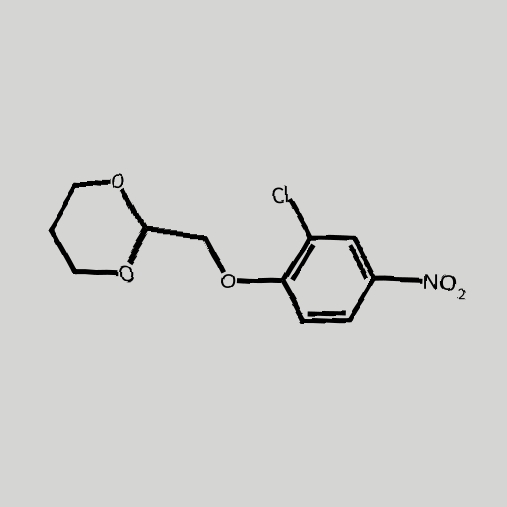 O=[N+]([O-])c1ccc(OCC2OCCCO2)c(Cl)c1